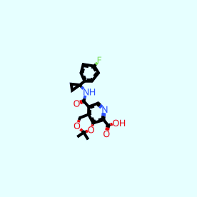 CC1(C)OCc2c(C(=O)NC3(c4ccc(F)cc4)CC3)cnc(C(=O)O)c2O1